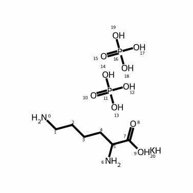 NCCCCC(N)C(=O)O.O=P(O)(O)O.O=P(O)(O)O.[KH]